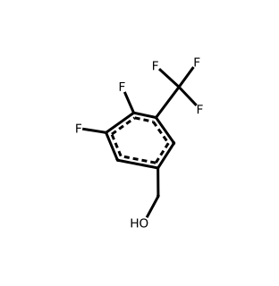 OCc1cc(F)c(F)c(C(F)(F)F)c1